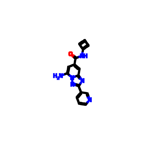 Nc1cc(C(=O)NC2=CC=C2)cc2nc(-c3cccnc3)nn12